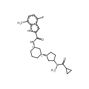 Cc1ccc(F)c2cc(C(=O)N[C@@H]3CCC[C@H](N4CCC(N(C)C(=O)C5CC5)C4)C3)[nH]c12